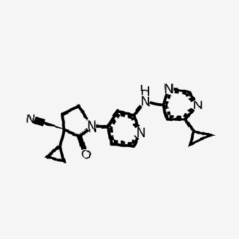 N#C[C@@]1(C2CC2)CCN(c2ccnc(Nc3cc(C4CC4)ncn3)c2)C1=O